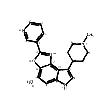 CN1CCC(c2c[nH]c3ccc4oc(-c5cccnc5)nc4c23)CC1.Cl